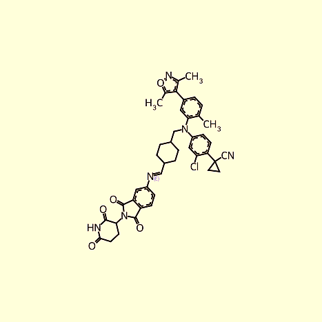 Cc1ccc(-c2c(C)noc2C)cc1N(CC1CCC(/C=N/c2ccc3c(c2)C(=O)N(C2CCC(=O)NC2=O)C3=O)CC1)c1ccc(C2(C#N)CC2)c(Cl)c1